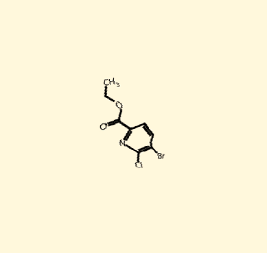 CCOC(=O)c1ccc(Br)c(Cl)n1